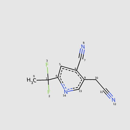 CC(F)(F)c1cc(C#N)c(CC#N)cn1